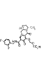 C[C@H]1CO[C@@H]2Cn3cc(C(=O)NCc4ccc(F)cc4F)c(=O)c(OCOC(=O)O)c3C(=O)N12